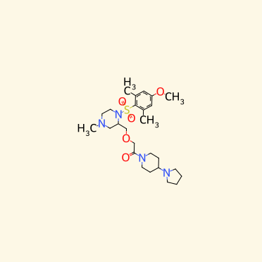 COc1cc(C)c(S(=O)(=O)N2CCN(C)CC2COCC(=O)N2CCC(N3CCCC3)CC2)c(C)c1